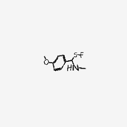 CNC(SF)c1ccc(OC)cc1